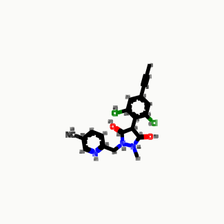 CC#Cc1cc(Cl)c(C2C(=O)N(C)N(Cc3ccc(C#N)cn3)C2=O)c(Cl)c1